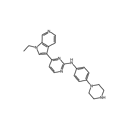 CCn1cc(-c2ccnc(Nc3ccc(N4CCNCC4)cc3)n2)c2ccncc21